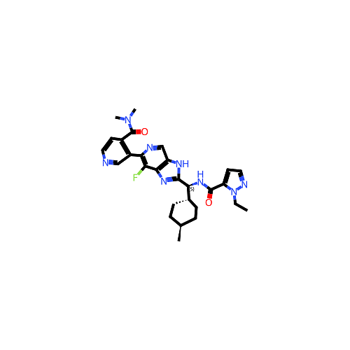 CCn1nccc1C(=O)N[C@H](c1nc2c(F)c(-c3cnccc3C(=O)N(C)C)ncc2[nH]1)[C@H]1CC[C@H](C)CC1